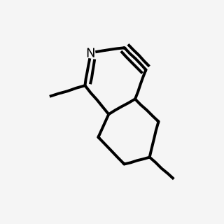 CC1=NC#CC2CC(C)CCC12